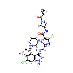 C=CC(=O)N1CC(NC(=O)c2c(Cl)nc(CNc3n[nH]c4cc(Cl)c(C(C)(C)C)cc34)n2C2CCCN(C)C2)C1